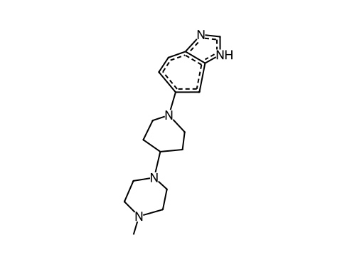 CN1CCN(C2CCN(c3ccc4nc[nH]c4c3)CC2)CC1